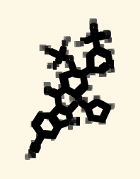 N#Cc1ccc2c(c1)[nH]c1c2c(=O)c2cc(OC(F)(F)F)c(-c3cncc(S(=O)(=O)F)c3)cc2n1C1CCCC1